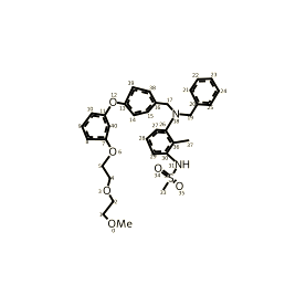 COCCOCCOc1cccc(Oc2ccc(CN(Cc3ccccc3)c3cccc(NS(C)(=O)=O)c3C)cc2)c1